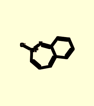 [O-][NH+]1C=CC=c2ccccc2=N1